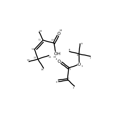 C=C(C)C(=O)OC(C)(C)C.CC(=CC(C)(C)C)C(=O)O